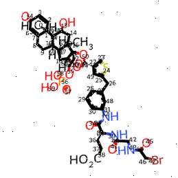 C[C@]12C=CC(=O)C=C1CC[C@@H]1[C@@H]2[C@@H](O)C[C@@]2(C)[C@H]1C[C@H]1O[C@@H](c3csc(Cc4cccc(NC(=O)[C@H](CCC(=O)O)NC(=O)CNC(=O)CBr)c4)c3)O[C@]12C(=O)COP(=O)(O)O